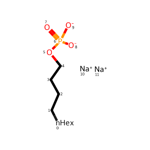 CCCCCCCCCCOP(=O)([O-])[O-].[Na+].[Na+]